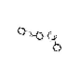 O=C(OC(=O)c1ccc(OCc2ccccc2)cc1)c1ccccc1